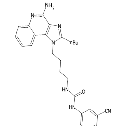 CCCCc1nc2c(N)nc3ccccc3c2n1CCCCNC(=O)Nc1cccc(C#N)c1